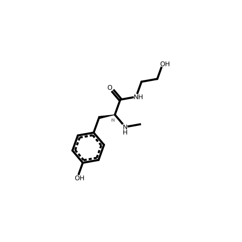 CN[C@@H](Cc1ccc(O)cc1)C(=O)NCCO